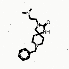 CN(C)CCN1CC2(CCN(Cc3ccccc3)CC2)NC1=O